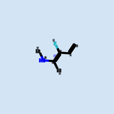 C=C/C(F)=C(\CC)NCC